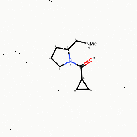 CNCC1CCCN1C(=O)C1CC1